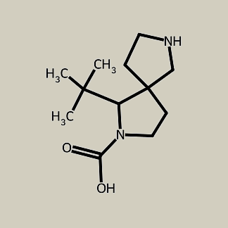 CC(C)(C)C1N(C(=O)O)CCC12CCNC2